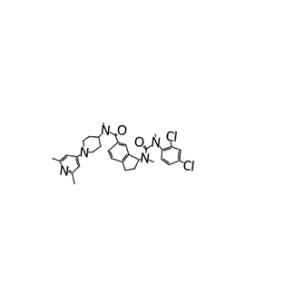 Cc1cc(N2CCC(N(C)C(=O)c3ccc4c(c3)C(N(C)C(=O)N(C)c3ccc(Cl)cc3Cl)CC4)CC2)cc(C)n1